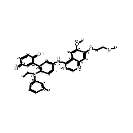 CCN(c1cccc(C)c1)c1ccc(Nc2ncnc3cc(OCCOC)c(OC)cc23)cc1C1=CC(=O)C=CC1=O